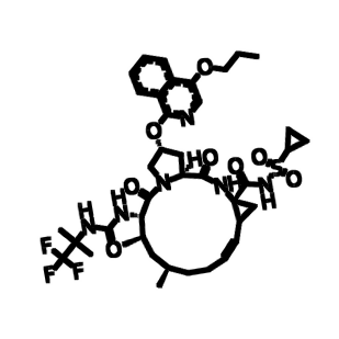 CCCOc1cnc(O[C@@H]2C[C@H]3C(=O)N[C@]4(C(=O)NS(=O)(=O)C5CC5)CC4/C=C\CC[C@@H](C)C[C@@H](C)[C@H](NC(=O)NC(C)(C)C(F)(F)F)C(=O)N3C2)c2ccccc12